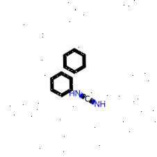 C1CCCCC1.C1CCCCC1.N=C=N